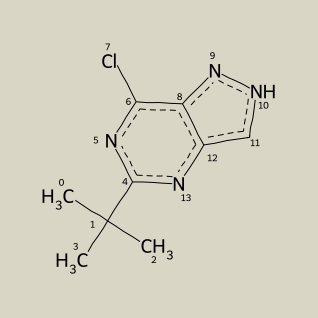 CC(C)(C)c1nc(Cl)c2n[nH]cc2n1